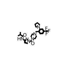 CC(C)C(=O)Nc1ccn(C(=O)N2CCN(Cc3ccc(C(F)(F)F)cc3N3CCCC3)CC2)n1